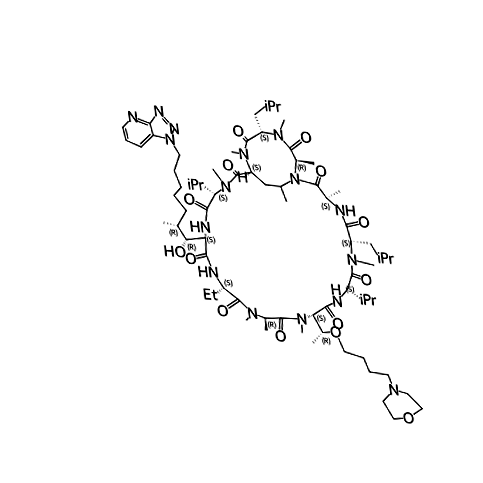 CC[C@@H]1NC(=O)[C@H]([C@H](O)[C@H](C)CCCCCn2nnc3ncccc32)NC(=O)[C@H](C(C)C)N(C)C(=O)[C@@H]2CC(C)N(C(=O)[C@H](C)NC(=O)[C@H](CC(C)C)N(C)C(=O)[C@H](C(C)C)NC(=O)[C@H]([C@@H](C)OCCCCN3CCOCC3)N(C)C(=O)[C@@H](C)N(C)C1=O)[C@H](C)C(=O)N(C)[C@@H](CC(C)C)C(=O)N2C